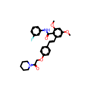 COc1cc(C=Cc2ccc(OCC(=O)N3CCCCC3)cc2)c(C(=O)Nc2cccc(F)c2)c(OC)c1